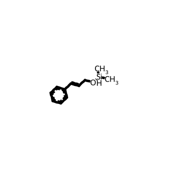 C[SiH](C)OCC=Cc1ccccc1